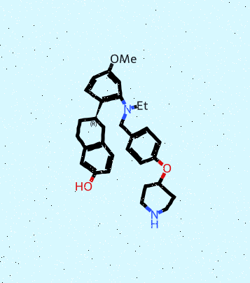 CCN(Cc1ccc(OC2CCNCC2)cc1)c1cc(OC)ccc1[C@@H]1CCc2cc(O)ccc2C1